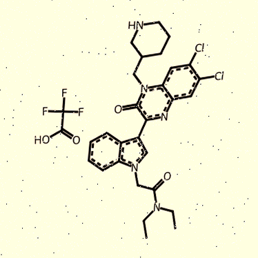 CCN(CC)C(=O)Cn1cc(-c2nc3cc(Cl)c(Cl)cc3n(CC3CCCNC3)c2=O)c2ccccc21.O=C(O)C(F)(F)F